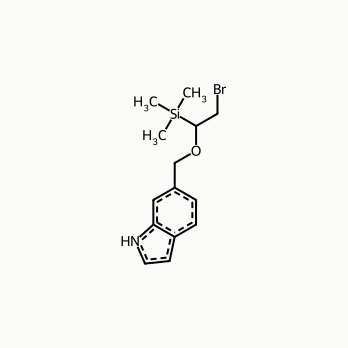 C[Si](C)(C)C(CBr)OCc1ccc2cc[nH]c2c1